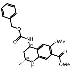 COC(=O)c1cc2c(cc1OC)[C@@H](NC(=O)OCc1ccccc1)C[C@@H](C)N2